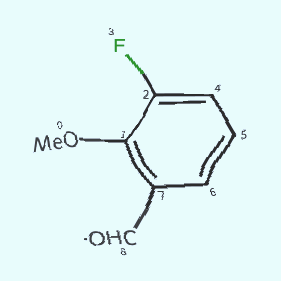 COc1c(F)cccc1[C]=O